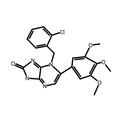 COc1cc(C2=CN=C3[N]C(=O)N=C3N2Cc2ccccc2Cl)cc(OC)c1OC